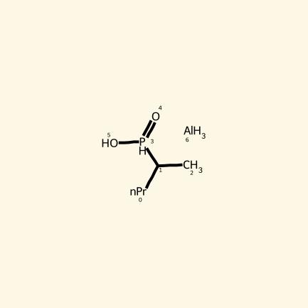 CCCC(C)[PH](=O)O.[AlH3]